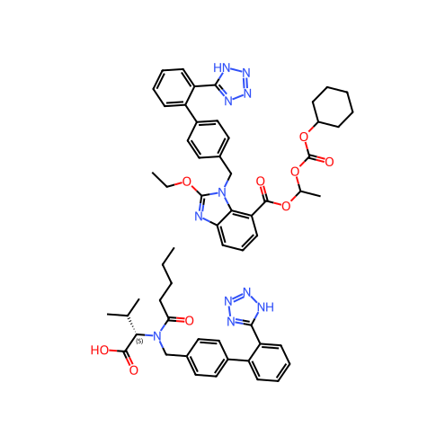 CCCCC(=O)N(Cc1ccc(-c2ccccc2-c2nnn[nH]2)cc1)[C@H](C(=O)O)C(C)C.CCOc1nc2cccc(C(=O)OC(C)OC(=O)OC3CCCCC3)c2n1Cc1ccc(-c2ccccc2-c2nnn[nH]2)cc1